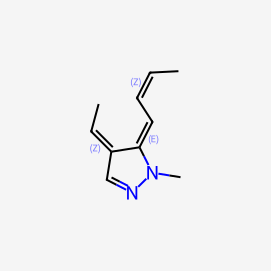 C\C=C/C=c1\c(=C/C)cnn1C